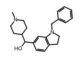 CN1CCC(C(O)c2ccc3c(c2)N(Cc2ccccc2)CC3)CC1